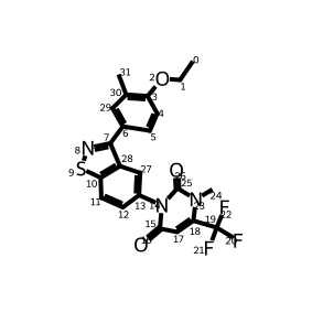 CCOc1ccc(-c2nsc3ccc(-n4c(=O)cc(C(F)(F)F)n(C)c4=O)cc23)cc1C